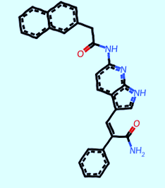 NC(=O)C(=Cc1c[nH]c2nc(NC(=O)Cc3ccc4ccccc4c3)ccc12)c1ccccc1